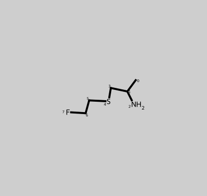 CC(N)CSCCF